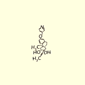 CC#CC1(O)CC2CCc3cc(OCc4ccncc4)ccc3C2(CC)CC1O